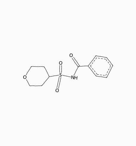 O=C(NS(=O)(=O)C1CCOCC1)c1ccccc1